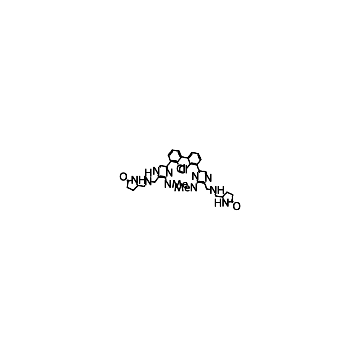 CNc1nc(-c2cccc(-c3cccc(-c4cnc(CNCC5CCC(=O)N5)c(NC)n4)c3Cl)c2Cl)cnc1CNCC1CCC(=O)N1